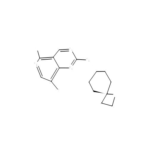 Clc1ncc(I)c2nc(N[C@H]3CC[C@@]4(CCO4)CC3)ncc12